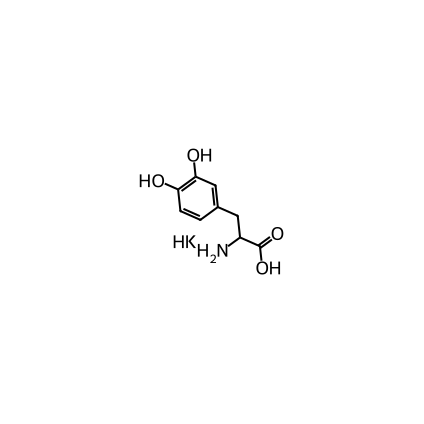 NC(Cc1ccc(O)c(O)c1)C(=O)O.[KH]